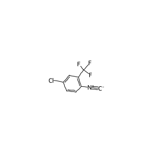 [C-]#[N+]c1ccc(Cl)cc1C(F)(F)F